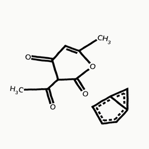 CC(=O)C1C(=O)C=C(C)OC1=O.c1cc2cc-2c1